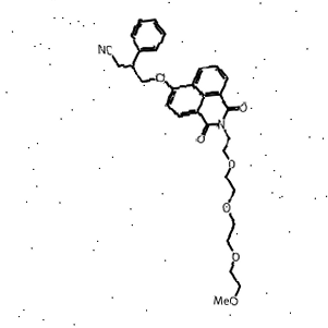 COCCOCCOCCOCCN1C(=O)c2cccc3c(OCC(CC#N)c4ccccc4)ccc(c23)C1=O